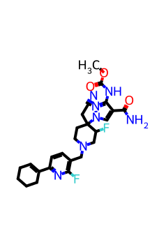 COC(=O)Nc1nn(C2(CC#N)CCN(Cc3ccc(C4=CCCCC4)nc3F)CC2F)cc1C(N)=O